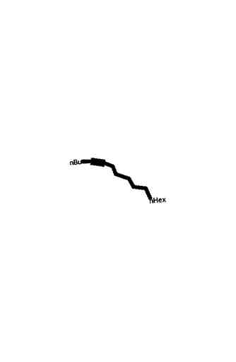 CCCCC#CCCCCCCCCCCC